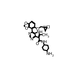 Cc1[nH]c2c(-c3c(OCC4CC4)ccc4c3OCO4)ncnc2c1C(=O)NC1CCC(N)CC1.Cl